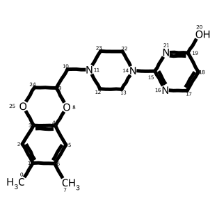 Cc1cc2c(cc1C)OC(CN1CCN(c3nccc(O)n3)CC1)CO2